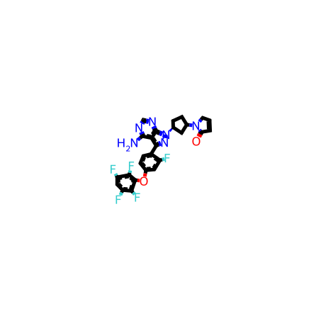 Nc1ncnc2c1c(-c1ccc(Oc3c(F)c(F)cc(F)c3F)cc1F)nn2[C@H]1CCC(N2CC=CC2=O)C1